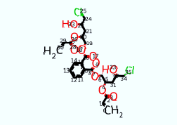 C=CC(=O)OC(COC(=O)c1ccccc1C(=O)OCC(CC(O)CCl)OC(=O)C=C)CC(O)CCl